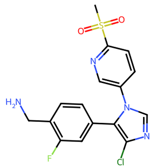 CS(=O)(=O)c1ccc(-n2cnc(Cl)c2-c2ccc(CN)c(F)c2)cn1